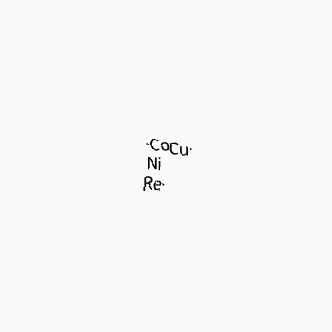 [Co].[Cu].[Ni].[Re]